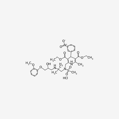 CCOC(=O)C1=C(C)NC(CN(CC(C)(C)NCC(O)COc2ccccc2OC)S(C)(=O)=O)=C(C(=O)OCC)C1c1cccc([N+](=O)[O-])c1.Cl